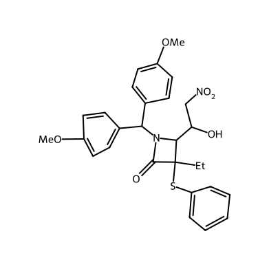 CCC1(Sc2ccccc2)C(=O)N(C(c2ccc(OC)cc2)c2ccc(OC)cc2)C1C(O)C[N+](=O)[O-]